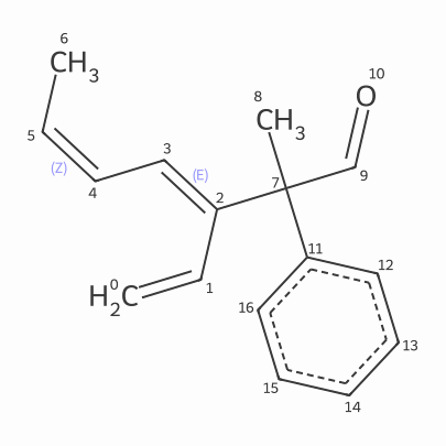 C=C/C(=C\C=C/C)C(C)(C=O)c1ccccc1